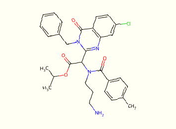 Cc1ccc(C(=O)N(CCCN)C(C(=O)OC(C)C)c2nc3cc(Cl)ccc3c(=O)n2Cc2ccccc2)cc1